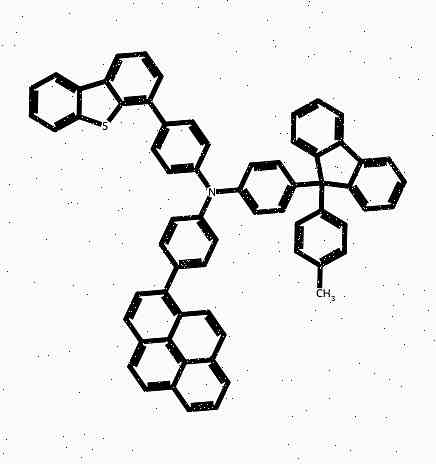 Cc1ccc(C2(c3ccc(N(c4ccc(-c5ccc6ccc7cccc8ccc5c6c78)cc4)c4ccc(-c5cccc6c5sc5ccccc56)cc4)cc3)c3ccccc3-c3ccccc32)cc1